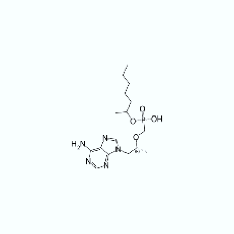 CCCCCC(C)OP(=O)(O)CO[C@H](C)Cn1cnc2c(N)ncnc21